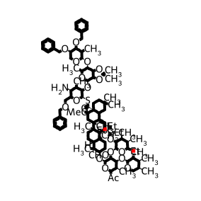 CCC1O[C@@H](OC2[C@H](O[C@H]3CCC4(C)C5CC=C6C7CC(C)(C)CC[C@]7(C(=O)S[C@@H]7OC(COCc8ccccc8)[C@H](N)C(C)C7O[C@@H]7OC(C)[C@H](O[C@@H]8OC[C@@H](OCc9ccccc9)C(OCc9ccccc9)C8C)C8OC(C)(C)OC87)C(OC)C[C@@]6(C)[C@@]5(C)CC[C@H]4[C@@]3(C)C=O)OC(C(C)=O)[C@@H](C)[C@@H]2O[C@@H]2OC[C@@H](C)[C@@H](C)C2C)C(O[Si](CC)(CC)CC)[C@@H](C)[C@@H]1C